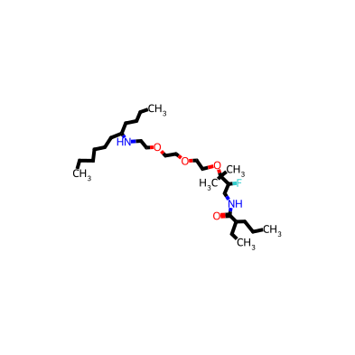 CCCCCCC(CCCC)NCCOCCOCCOC(C)(C)C(F)CNC(=O)C(CC)CCC